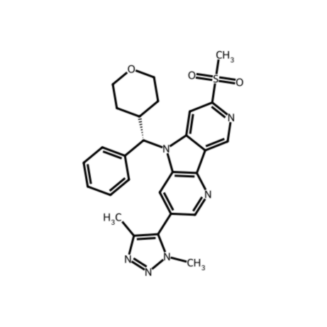 Cc1nnn(C)c1-c1cnc2c3cnc(S(C)(=O)=O)cc3n([C@H](c3ccccc3)C3CCOCC3)c2c1